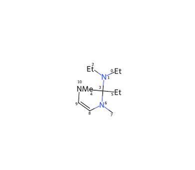 CCN(CC)C(C)(CC)N(C)/C=C\NC